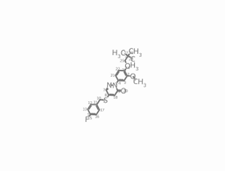 COc1cc(-n2ncc(SCc3ccc(F)cc3)cc2=O)ccc1OCC(C)(C)C